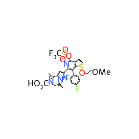 COCCOc1cc(F)cc(F)c1-c1c(-c2cc3n(n2)[C@@H](C)CN(C(=O)O)[C@H]3C)nc(OS(=O)(=O)C(F)(F)F)c2ccsc12